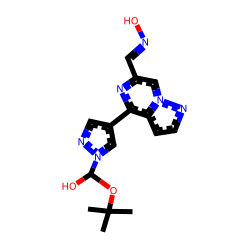 CC(C)(C)OC(O)n1cc(-c2nc(/C=N/O)cn3nccc23)cn1